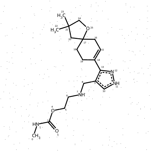 CNC(=O)OCCNCc1c[nH]nc1C1=CCC2(CC1)CC(C)(C)CO2